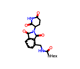 CCCCCCC(=O)NCc1cccc2c1C(=O)N(C1CCC(=O)NC1=O)C2=O